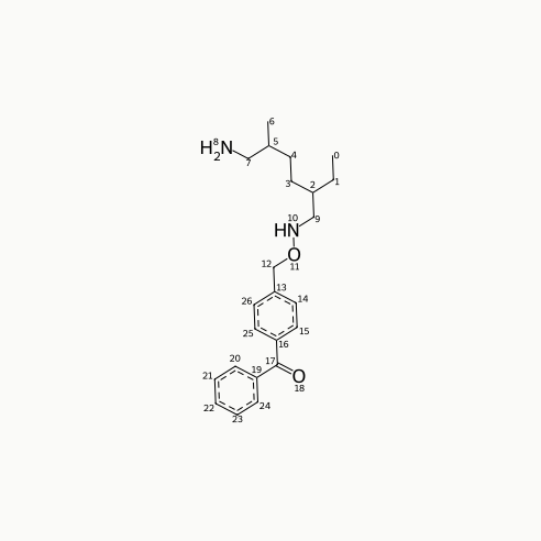 CCC(CCC(C)CN)CNOCc1ccc(C(=O)c2ccccc2)cc1